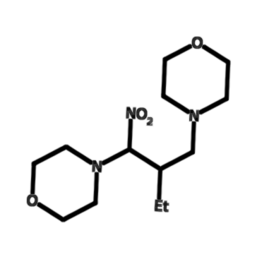 CCC(CN1CCOCC1)C(N1CCOCC1)[N+](=O)[O-]